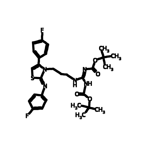 CC(C)(C)OC(=O)N=C(NCCCn1c(-c2ccc(F)cc2)csc1=Nc1ccc(F)cc1)NC(=O)OC(C)(C)C